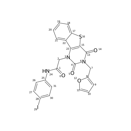 O=C(Cn1c(=O)n(Cc2ccco2)c(=O)c2sc3ccccc3c21)Nc1ccc(I)cc1